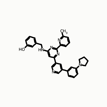 Cc1cccc(-c2nc(NCc3cccc(O)c3)cc(-c3cncc(-c4cccc(N5CCCC5)c4)c3)n2)n1